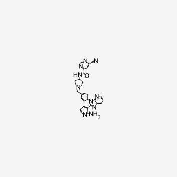 N#Cc1cc(C(=O)NC2CCN(Cc3ccc(-n4c(-c5cccnc5N)nc5cccnc54)cc3)CC2)ncn1